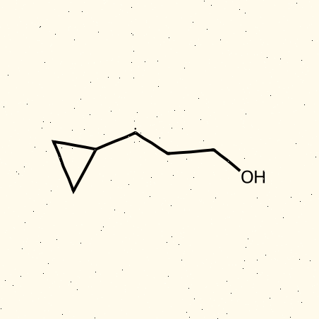 OCC[CH]C1CC1